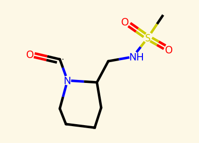 CS(=O)(=O)NCC1CCCCN1[C]=O